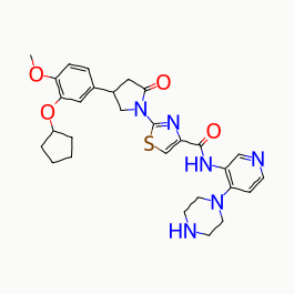 COc1ccc(C2CC(=O)N(c3nc(C(=O)Nc4cnccc4N4CCNCC4)cs3)C2)cc1OC1CCCC1